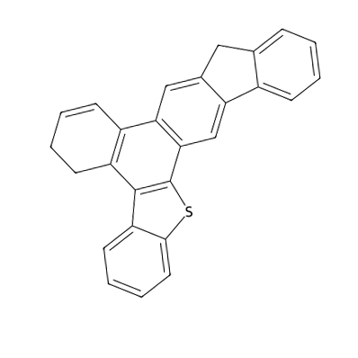 C1=Cc2c(c3c4ccccc4sc3c3cc4c(cc23)Cc2ccccc2-4)CC1